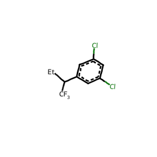 CCC(c1cc(Cl)cc(Cl)c1)C(F)(F)F